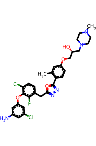 Cc1cc(OC[C@@H](O)CN2CCN(C)CC2)ccc1-c1nnc(Cc2ccc(Cl)c(Oc3cc(N)cc(Cl)c3)c2F)o1